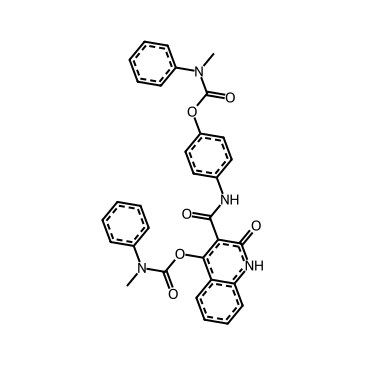 CN(C(=O)Oc1ccc(NC(=O)c2c(OC(=O)N(C)c3ccccc3)c3ccccc3[nH]c2=O)cc1)c1ccccc1